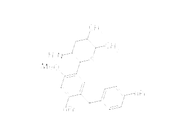 CCCc1ccc(Cc2cc(C3SC(C)C(C)CC3N)c(OC)cc2CCC)cc1